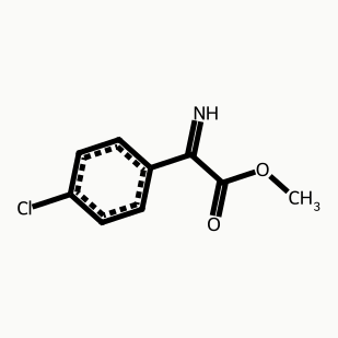 COC(=O)C(=N)c1ccc(Cl)cc1